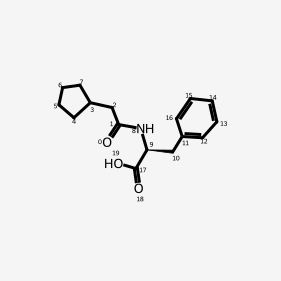 O=C(CC1CCCC1)N[C@@H](Cc1ccccc1)C(=O)O